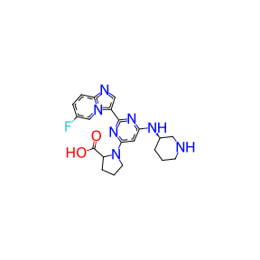 O=C(O)C1CCCN1c1cc(N[C@@H]2CCCNC2)nc(-c2cnc3ccc(F)cn23)n1